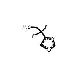 CCC(F)(F)c1cocn1